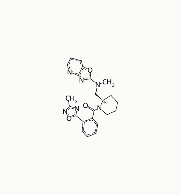 Cc1noc(-c2ccccc2C(=O)N2CCCC[C@@H]2CN(C)c2nc3ncccc3o2)n1